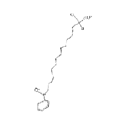 CCOC(=O)C(Cl)(Cl)CCCCCCCCCCCC[S+]([O-])c1ccccc1